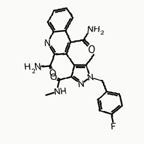 CNC(=O)c1nn(Cc2ccc(F)cc2)c(C)c1-c1c(C(N)=O)nc2ccccc2c1C(N)=O